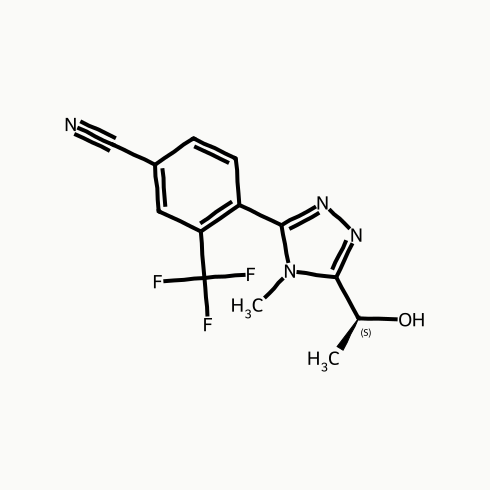 C[C@H](O)c1nnc(-c2ccc(C#N)cc2C(F)(F)F)n1C